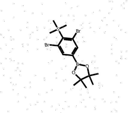 CC1(C)OB(c2cc(Br)c(S(C)(C)C)c(Br)c2)OC1(C)C